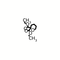 CCOC(=O)C1(C(=O)OCC)CCCCO1